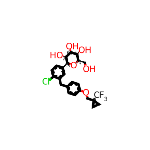 OC[C@H]1O[C@@H](c2ccc(Cl)c(Cc3ccc(OCC4(C(F)(F)F)CC4)cc3)c2)[C@H](O)[C@@H](O)[C@@H]1O